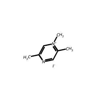 Cc1c[n+](C)c(C)cn1.[I-]